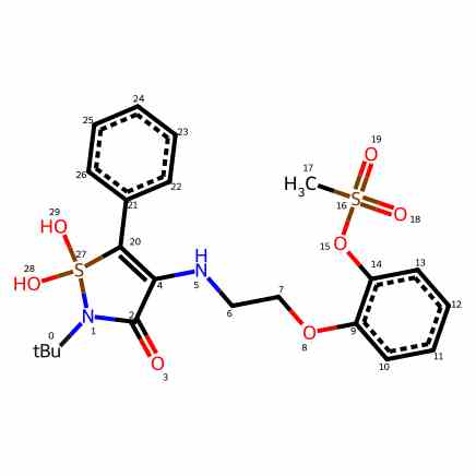 CC(C)(C)N1C(=O)C(NCCOc2ccccc2OS(C)(=O)=O)=C(c2ccccc2)S1(O)O